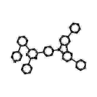 c1ccc(-c2ccc3c(c2)c2cc(-c4ccccc4)ccc2n3-c2ccc(-c3cc(-c4ccccc4-c4ccncc4)nc(-c4ccccc4)n3)cc2)cc1